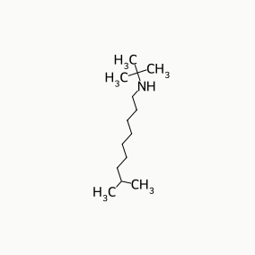 CC(C)CCCCCCCNC(C)(C)C